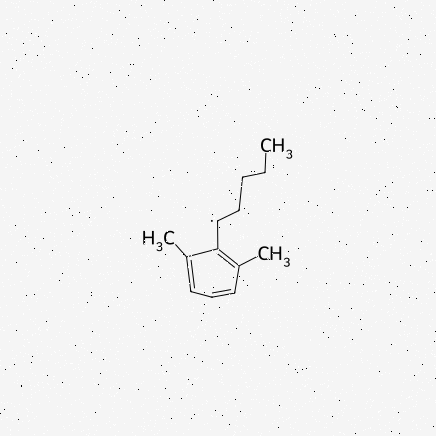 CCCC[CH]c1c(C)cccc1C